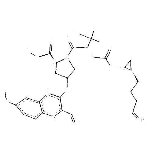 C=CCCC[C@@H]1C[C@H]1OC(=O)N[C@H](C(=O)N1CC(Oc2nc3cc(OC)ccc3nc2C=C)C[C@H]1C(=O)OC)C(C)(C)C